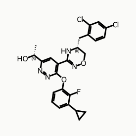 C[C@@H](O)c1cc(C2=NOC[C@@H](Cc3ccc(Cl)cc3Cl)N2)c(Oc2cccc(C3CC3)c2F)nn1